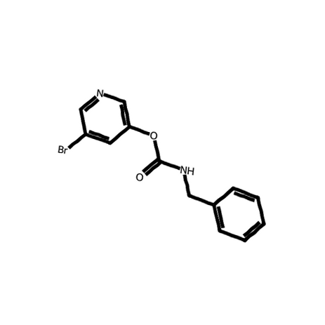 O=C(NCc1ccccc1)Oc1cncc(Br)c1